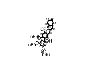 CCCCOC[C@@H]1C[C@H](OCCCC)C[C@](O)(c2cc(Cc3cc4ccccc4s3)c(C(F)(F)F)cc2OCCCC)O1